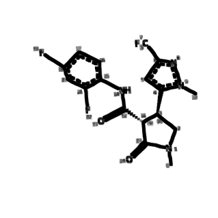 CN1C[C@H](c2cc(C(F)(F)F)nn2C)[C@@H](C(=O)Nc2ccc(F)cc2F)C1=O